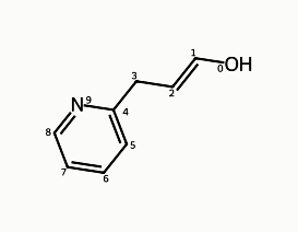 OC=CCc1ccccn1